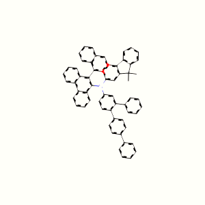 CC1(C)c2ccccc2-c2ccc(N(c3ccc(-c4ccc(-c5ccccc5)cc4)c(-c4ccccc4)c3)c3c(-c4cccc5ccccc45)c4ccccc4c4ccccc34)cc21